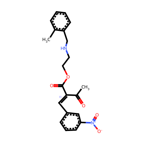 CC(=O)/C(=C\c1cccc([N+](=O)[O-])c1)C(=O)OCCNCc1ccccc1C